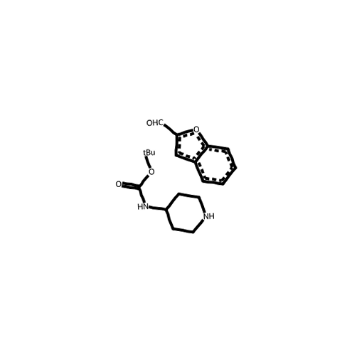 CC(C)(C)OC(=O)NC1CCNCC1.O=Cc1cc2ccccc2o1